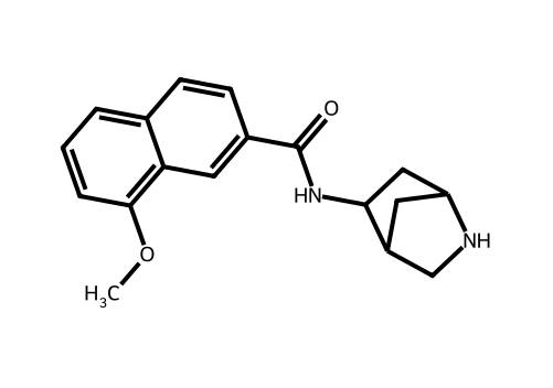 COc1cccc2ccc(C(=O)NC3CC4CC3CN4)cc12